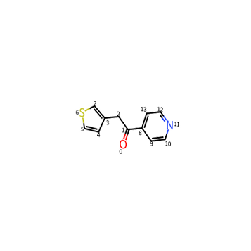 O=C(Cc1ccsc1)c1ccncc1